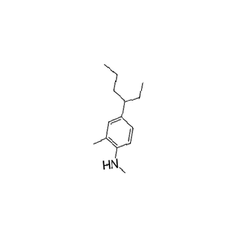 CCCC(CC)c1ccc(NC)c(C)c1